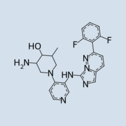 CC1CN(c2ccncc2Nc2ncc3ccc(-c4c(F)cccc4F)nn23)CC(N)C1O